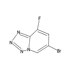 Fc1cc(Br)cn2nnnc12